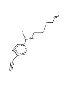 N#Cc1ccc(C(=O)NCCCCO)cc1